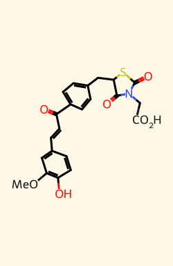 COc1cc(C=CC(=O)c2ccc(CC3SC(=O)N(CC(=O)O)C3=O)cc2)ccc1O